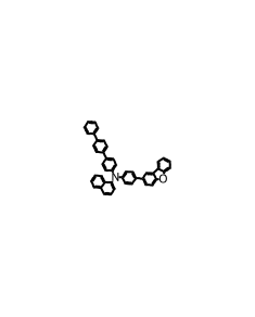 c1ccc(-c2ccc(-c3ccc(N(c4ccc(-c5ccc6oc7ccccc7c6c5)cc4)c4cccc5ccccc45)cc3)cc2)cc1